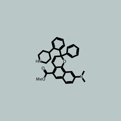 COC(=O)c1cc2ccc(N(C)C)cc2c2c1C=CC(c1ccccc1)(c1ccccc1C1CCNCC1)O2